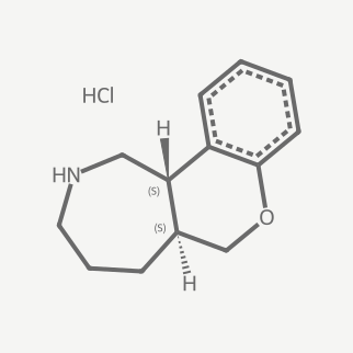 Cl.c1ccc2c(c1)OC[C@H]1CCCNC[C@H]21